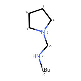 CC(C)(C)NCN1CCCC1